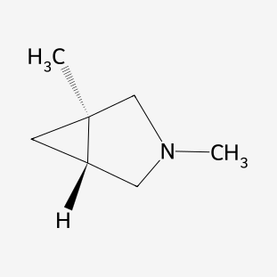 CN1C[C@@H]2C[C@@]2(C)C1